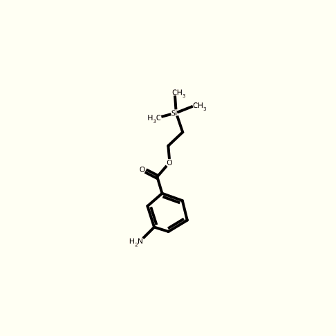 C[Si](C)(C)CCOC(=O)c1cccc(N)c1